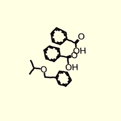 CC(C)OCc1ccccc1.O=C(O)c1ccccc1.O=C(O)c1ccccc1